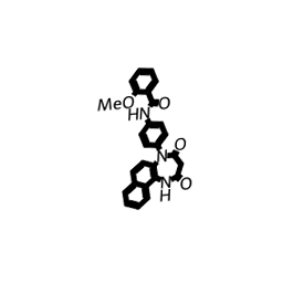 COc1ccccc1C(=O)Nc1ccc(N2C(=O)CC(=O)Nc3c2ccc2ccccc32)cc1